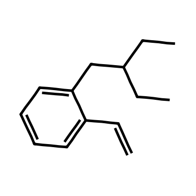 C=Cc1ccccc1CC(CC)CC